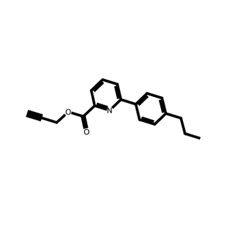 C#CCOC(=O)c1cccc(-c2ccc(CCC)cc2)n1